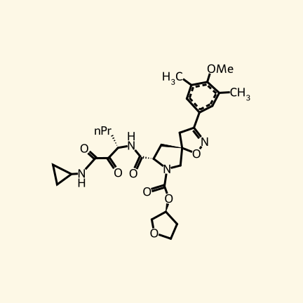 CCC[C@H](NC(=O)[C@@H]1C[C@]2(CC(c3cc(C)c(OC)c(C)c3)=NO2)CN1C(=O)O[C@H]1CCOC1)C(=O)C(=O)NC1CC1